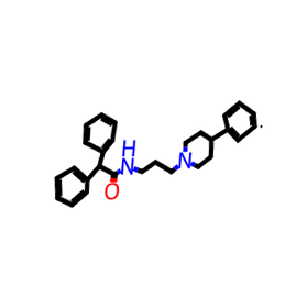 O=C(NCCCN1CCC(c2c[c]ccc2)CC1)C(c1ccccc1)c1ccccc1